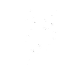 c1ccc(-c2cc(-c3cccc(-c4cccc(-c5nc(-c6ccccc6)nc(-c6ccc7c(c6)C(c6ccccc6)(c6ccccc6)c6ccccc6-7)n5)c4)c3)nc(-c3ccccc3)n2)cc1